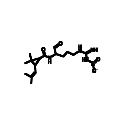 CC(C)=CC1C(C(=O)NC(C=O)CCCNC(=N)N[N+](=O)[O-])C1(C)C